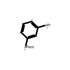 CCCCCc1[c]ccc(CCC)c1